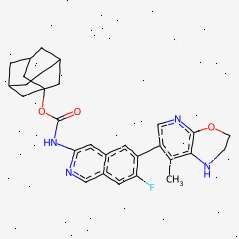 Cc1c(-c2cc3cc(NC(=O)OC45CC6CC(CC(C6)C4)C5)ncc3cc2F)cnc2c1NCCO2